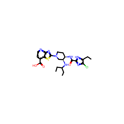 CCc1[nH]c(C(=O)N[C@@H]2CCN(c3nc4nccc(C(=O)O)c4s3)C[C@@H]2NC(CC)CC)nc1Cl